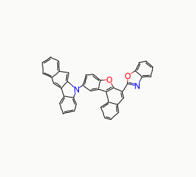 c1ccc2cc3c(cc2c1)c1ccccc1n3-c1ccc2oc3c(-c4nc5ccccc5o4)cc4ccccc4c3c2c1